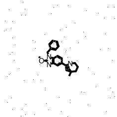 COc1nc2cc(C3=CC4(C)CCCN3C4)ccc2n1Cc1ccccc1